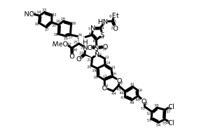 CCC(=O)Nc1nc(C)c(S(=O)(=O)N2Cc3cc4c(cc3C[C@H]2C(=O)N[C@@H](Cc2ccc(-c3ccc(C#N)cc3)cc2)C(=O)OC)OCC(c2ccc(OCc3ccc(Cl)c(Cl)c3)cc2)O4)s1